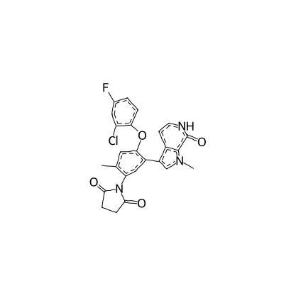 Cc1cc(Oc2ccc(F)cc2Cl)c(-c2cn(C)c3c(=O)[nH]ccc23)cc1N1C(=O)CCC1=O